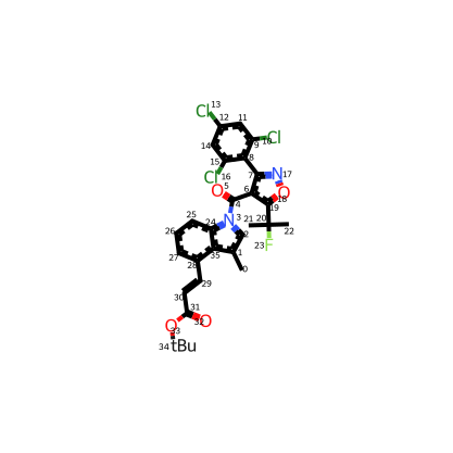 Cc1cn(C(=O)c2c(-c3c(Cl)cc(Cl)cc3Cl)noc2C(C)(C)F)c2cccc(/C=C/C(=O)OC(C)(C)C)c12